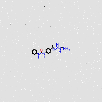 C/C(=N\NNCN)c1ccc(NC(=O)Nc2ccccc2)cc1